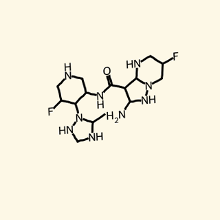 CC1NCNN1C1C(F)CNCC1NC(=O)C1C(N)NN2CC(F)CNC12